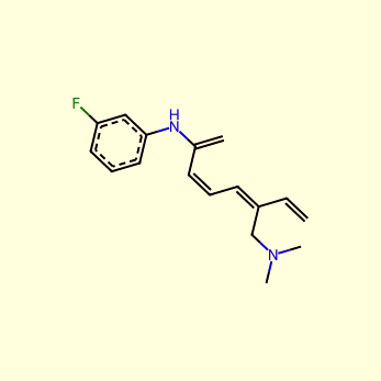 C=C/C(=C/C=C\C(=C)Nc1cccc(F)c1)CN(C)C